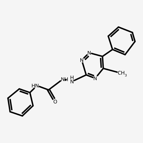 Cc1nc(NNC(=O)Nc2ccccc2)nnc1-c1ccccc1